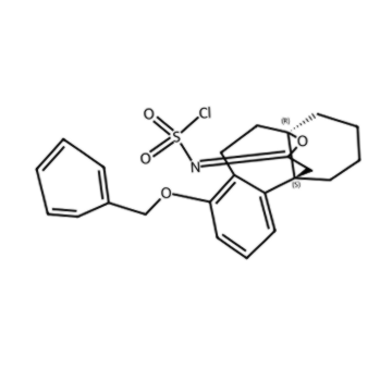 O=S(=O)(Cl)N=C1C[C@]23CCCC[C@]2(CCc2c(OCc4ccccc4)cccc23)O1